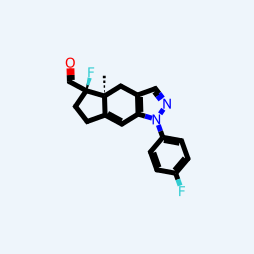 C[C@]12Cc3cnn(-c4ccc(F)cc4)c3C=C1CC[C@]2(F)C=O